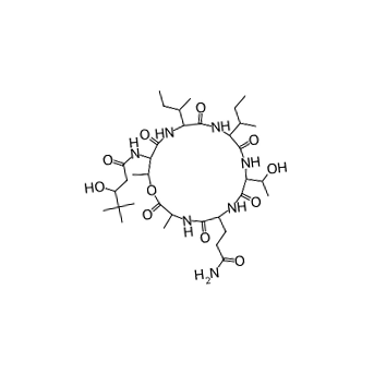 CCC(C)C1NC(=O)C(C(C)CC)NC(=O)C(NC(=O)CC(O)C(C)(C)C)C(C)OC(=O)C(C)NC(=O)C(CCC(N)=O)NC(=O)C(C(C)O)NC1=O